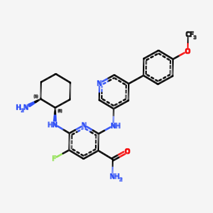 NC(=O)c1cc(F)c(N[C@@H]2CCCC[C@@H]2N)nc1Nc1cncc(-c2ccc(OC(F)(F)F)cc2)c1